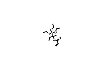 C=CC(=O)OC(C)(CC)[Si](OCC)(OCC)OCC